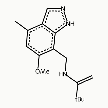 C=C(NCc1c(OC)cc(C)c2cn[nH]c12)C(C)(C)C